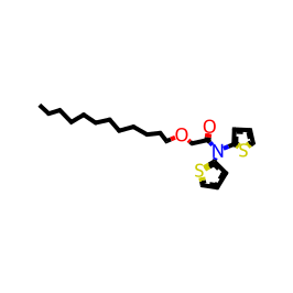 CCCCCCCCCCCCOCC(=O)N(c1cccs1)c1cccs1